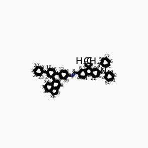 CCC1(CC)c2cc(/C=C/c3ccc(-c4ccc(-c5ccccc5)cc4-c4ccc5c6c(cccc46)CC5)cc3)ccc2-c2ccc(N(c3ccccc3)c3ccccc3)cc21